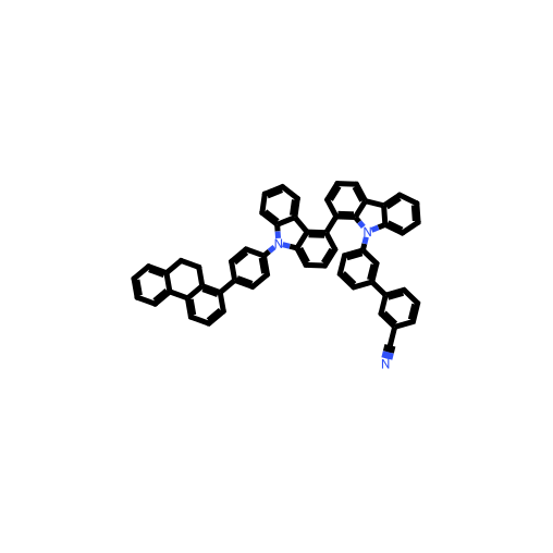 N#Cc1cccc(-c2cccc(-n3c4ccccc4c4cccc(-c5cccc6c5c5ccccc5n6-c5ccc(-c6cccc7c6CCc6ccccc6-7)cc5)c43)c2)c1